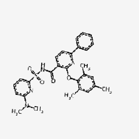 Cc1cc(C)c(Oc2nc(-c3ccccc3)ccc2C(=O)NS(=O)(=O)c2cccc(N(C)C)n2)c(C)c1